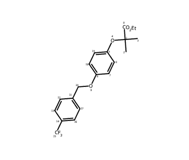 CCOC(=O)C(C)(C)Oc1ccc(OCc2ccc(C(F)(F)F)cc2)cc1